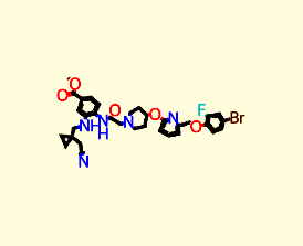 COC(=O)c1ccc(NC(=O)CN2CCC(Oc3cccc(COc4ccc(Br)cc4F)n3)CC2)c(NCC2(CC#N)CC2)c1